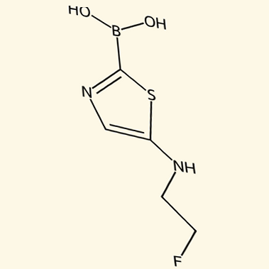 OB(O)c1ncc(NCCF)s1